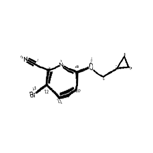 N#Cc1nc(OCC2CC2)ccc1Br